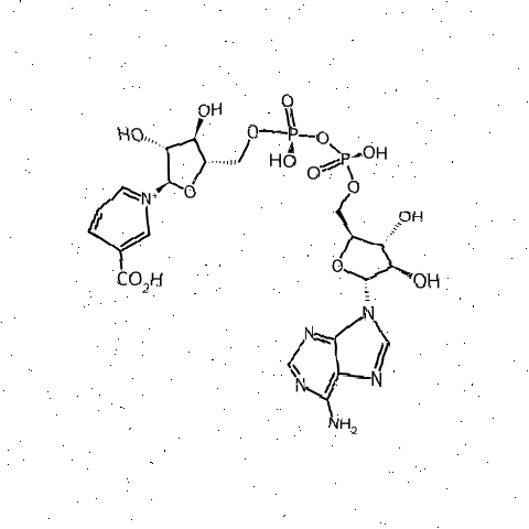 Nc1ncnc2c1ncn2[C@@H]1O[C@@H](CO[P@@](=O)(O)O[P@](=O)(O)OC[C@@H]2O[C@@H]([n+]3cccc(C(=O)O)c3)[C@H](O)[C@H]2O)[C@H](O)[C@H]1O